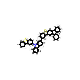 C1=Cc2c(sc3ccc(-n4c5ccccc5c5ccc(-c6ccc7sc8cc9c(cc8c7c6)C6(CCCCC6)c6ccccc6-9)cc54)cc23)CC1